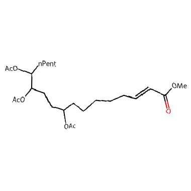 CCCCCC(OC(C)=O)C(CCC(CCCCCC=CC(=O)OC)OC(C)=O)OC(C)=O